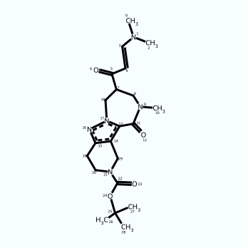 CN(C)/C=C/C(=O)C1CN(C)C(=O)c2c3c(nn2C1)CCN(C(=O)OC(C)(C)C)C3